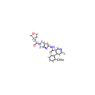 COc1ccccc1-c1cc(C)ncc1C(=O)Nc1nc2c(s1)CN(C(=O)C1C3COCC31)C2